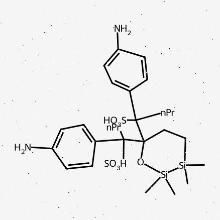 CCCC(c1ccc(N)cc1)(C1(C(CCC)(c2ccc(N)cc2)S(=O)(=O)O)CC[Si](C)(C)[Si](C)(C)O1)S(=O)(=O)O